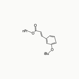 CCCOC(=O)C=Cc1cccc(OC(C)CC)c1